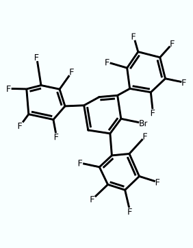 Fc1c(F)c(F)c(-c2cc(-c3c(F)c(F)c(F)c(F)c3F)c(Br)c(-c3c(F)c(F)c(F)c(F)c3F)c2)c(F)c1F